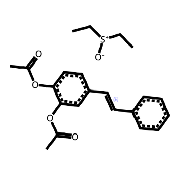 CC(=O)Oc1ccc(/C=C/c2ccccc2)cc1OC(C)=O.CC[S+]([O-])CC